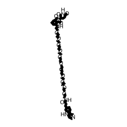 O=C(CCc1ccc2c(c1)[nH]c1ccncc12)NCCOCCOCCOCCOCCOCCOCCOCCOCCOCCOCCOCCNc1cccc2c1C(=O)N(C1CCC(=O)NC1=O)C2=O